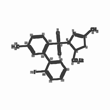 CCOC(=O)C1CC(C)=NN1S(=O)(=O)c1ccc(C)cc1-c1ccccc1F